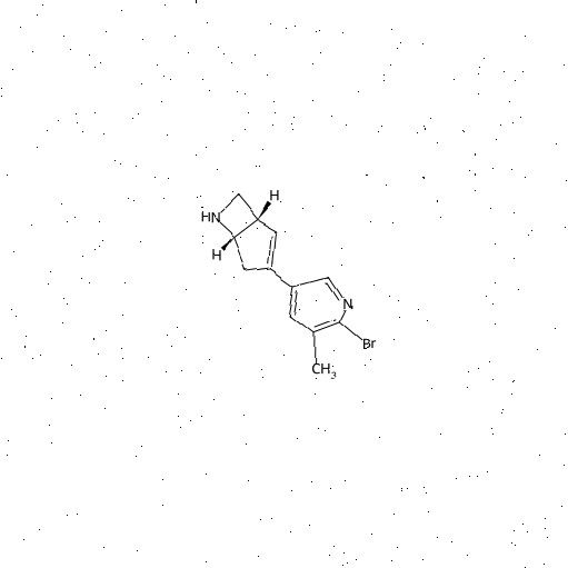 Cc1cc(C2=C[C@H]3CN[C@H]3C2)cnc1Br